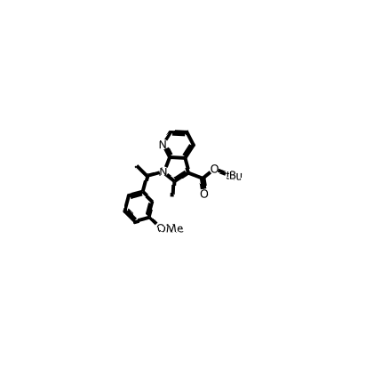 COc1cccc(C(C)n2c(C)c(C(=O)OC(C)(C)C)c3cccnc32)c1